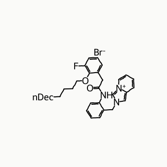 CCCCCCCCCCCCCCOc1c(F)cccc1CC(=O)Nc1ccccc1Cn1cc2cccc[n+]2c1.[Br-]